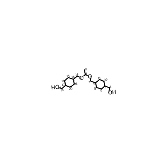 CC(OCC1CCC(CO)CC1)OCC1CCC(CO)CC1